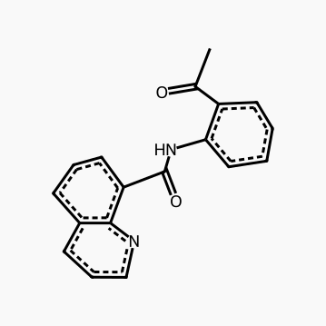 CC(=O)c1ccccc1NC(=O)c1cccc2cccnc12